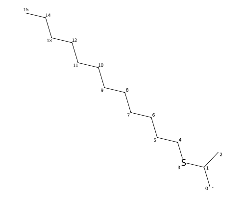 [CH2]C(C)SCCCCCCCCCCCC